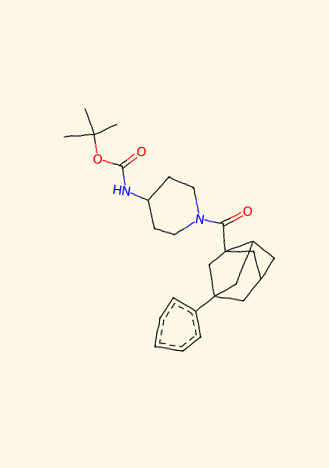 CC(C)(C)OC(=O)NC1CCN(C(=O)C23CC4CC2CC(c2ccccc2)(C4)C3)CC1